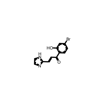 O=C(C=Cc1ncc[nH]1)c1ccc(Br)cc1O